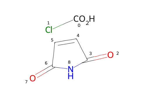 O=C(O)Cl.O=C1C=CC(=O)N1